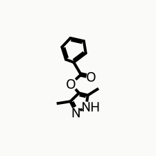 Cc1n[nH]c(C)c1OC(=O)c1ccccc1